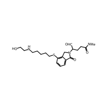 CNC(=O)CCC(C=O)N1Cc2c(SCCCCCNCCO)cccc2C1=O